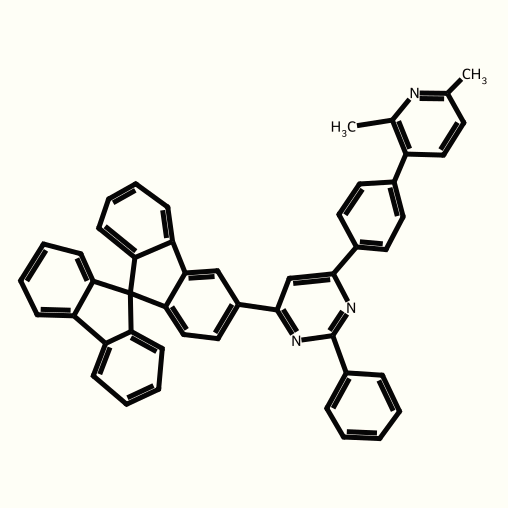 Cc1ccc(-c2ccc(-c3cc(-c4ccc5c(c4)-c4ccccc4C54c5ccccc5-c5ccccc54)nc(-c4ccccc4)n3)cc2)c(C)n1